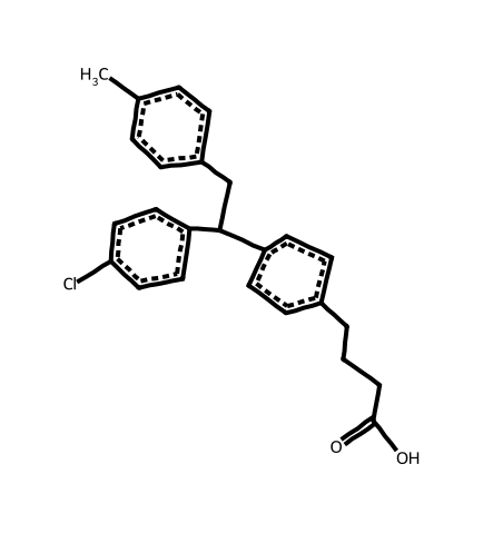 Cc1ccc(CC(c2ccc(Cl)cc2)c2ccc(CCCC(=O)O)cc2)cc1